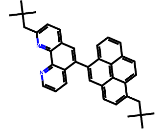 CC(C)(C)Cc1ccc2cc(-c3cc4ccc(CC(C)(C)C)c5ccc6cccc3c6c45)c3cccnc3c2n1